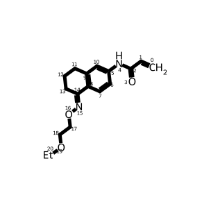 C=CC(=O)Nc1ccc2c(c1)CCC/C2=N\OCCOCC